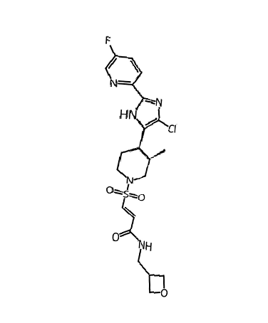 C[C@H]1CN(S(=O)(=O)C=CC(=O)NCC2COC2)CC[C@H]1c1[nH]c(-c2ccc(F)cn2)nc1Cl